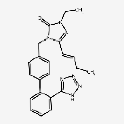 CC/C=C/c1nn(CC)c(=O)n1Cc1ccc(-c2ccccc2-c2nnn[nH]2)cc1